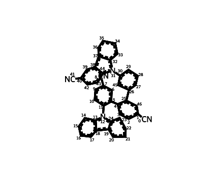 N#Cc1ccc(-c2cc(C#N)ccc2-n2c3ccccc3c3ccccc32)c(-c2cccc(-n3c4ccccc4c4cc(C#N)ccc43)c2)c1